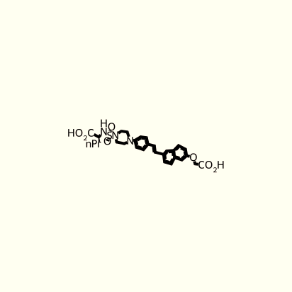 CCC[C@H](NS(=O)(=O)N1CCN(c2ccc(C=Cc3ccc4cc(OCC(=O)O)ccc4c3)cc2)CC1)C(=O)O